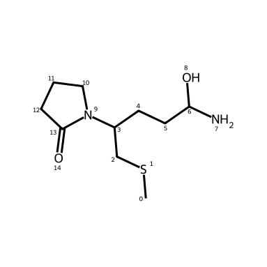 CSCC(CCC(N)O)N1CCCC1=O